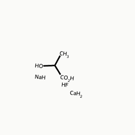 CC(O)C(=O)O.F.[CaH2].[NaH]